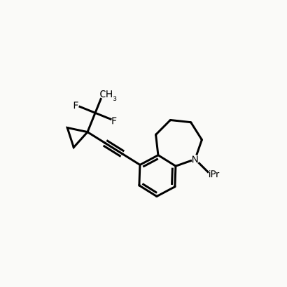 CC(C)N1CCCCc2c(C#CC3(C(C)(F)F)CC3)cccc21